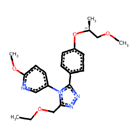 CCOCc1nnc(-c2ccc(O[C@@H](C)COC)cc2)n1-c1ccc(OC)nc1